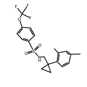 Cc1ccc(C2(CNS(=O)(=O)c3ccc(OC(F)(F)F)cc3)CC2)c(C)c1